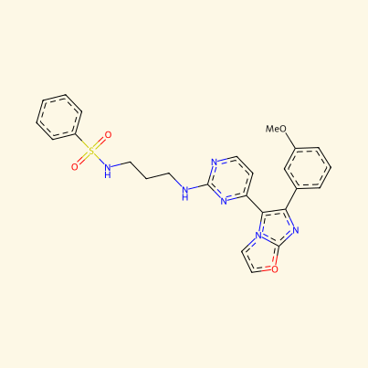 COc1cccc(-c2nc3occn3c2-c2ccnc(NCCCNS(=O)(=O)c3ccccc3)n2)c1